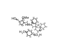 C#Cc1csc(CNCCC2(c3ccccn3)CCOC3(CCCC3)C2)c1OC.Cc1ccc(S(=O)(=O)O)cc1